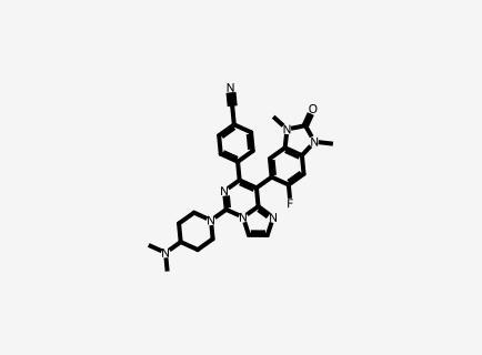 CN(C)C1CCN(c2nc(-c3ccc(C#N)cc3)c(-c3cc4c(cc3F)n(C)c(=O)n4C)c3nccn23)CC1